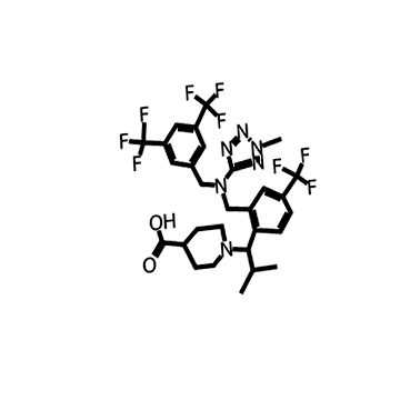 CC(C)C(c1ccc(C(F)(F)F)cc1CN(Cc1cc(C(F)(F)F)cc(C(F)(F)F)c1)c1nnn(C)n1)N1CCC(C(=O)O)CC1